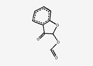 O=[C]OC1Oc2ccccc2C1=O